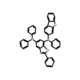 c1ccc(-c2nc3cc(N(c4ccccc4)c4ccccc4)cc(N(c4ccccc4)c4ccc5c(c4)oc4ccccc45)c3o2)cc1